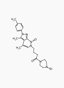 CCN1CCN(C(=O)CCCn2cc(C)c3c(C)n(-c4ccc(C)cc4)nc3[n+]2=O)CC1